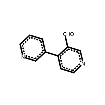 O=Cc1cnccc1-c1cccnc1